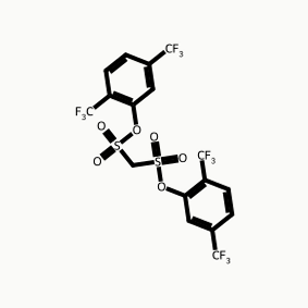 O=S(=O)(CS(=O)(=O)Oc1cc(C(F)(F)F)ccc1C(F)(F)F)Oc1cc(C(F)(F)F)ccc1C(F)(F)F